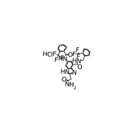 Cl.NC(=O)Cc1nc2c(C(=O)NCc3ccccc3C(F)(F)F)cc(NC(=O)c3ccccc3C(F)(F)F)cc2[nH]1